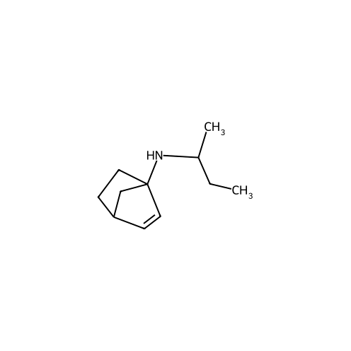 CCC(C)NC12C=CC(CC1)C2